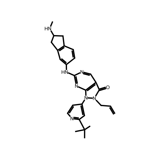 C=CCn1c(=O)c2cnc(Nc3ccc4c(c3)CC(NC)C4)nc2n1-c1ccnc(C(C)(C)C)c1